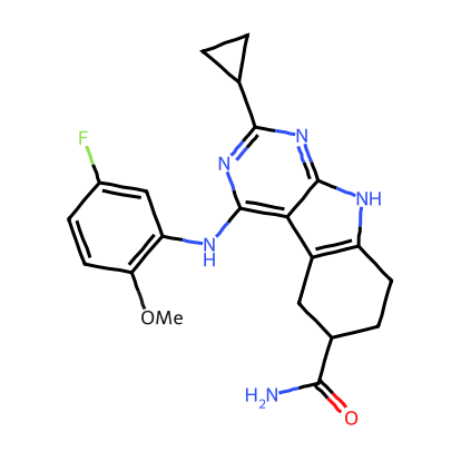 COc1ccc(F)cc1Nc1nc(C2CC2)nc2[nH]c3c(c12)CC(C(N)=O)CC3